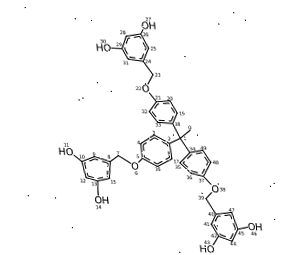 CC(c1ccc(OCc2cc(O)cc(O)c2)cc1)(c1ccc(OCc2cc(O)cc(O)c2)cc1)c1ccc(OCc2cc(O)cc(O)c2)cc1